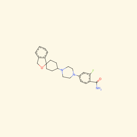 NC(=O)c1ccc(N2CCN(C3CCC4(CC3)OCc3ccccc34)CC2)cc1F